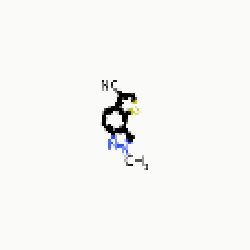 Cn1cc2c(ccc3c(C#N)csc32)n1